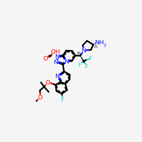 COCC(C)(C)Oc1cc(F)cc2ccc(-c3nnc4ccc([C@@H](N5CC[C@H](N)C5)C(F)(F)F)cn34)nc12.O=CO